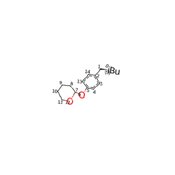 CC[C@H](C)Cc1ccc(OC2CCCCO2)cc1